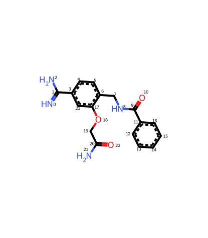 N=C(N)c1ccc(CNC(=O)c2ccccc2)c(OCC(N)=O)c1